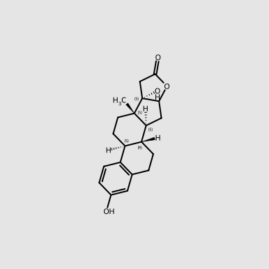 C[C@]12CC[C@@H]3c4ccc(O)cc4CC[C@H]3[C@@H]1CC1OC(=O)C[C@@]12O